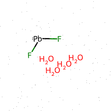 O.O.O.O.[F][Pb][F]